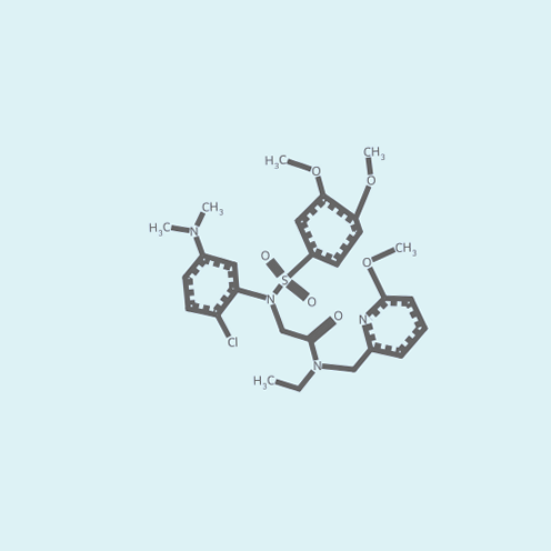 CCN(Cc1cccc(OC)n1)C(=O)CN(c1cc(N(C)C)ccc1Cl)S(=O)(=O)c1ccc(OC)c(OC)c1